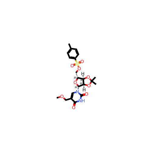 COCc1cn([C@@H]2O[C@H](COS(=O)(=O)c3ccc(C)cc3)[C@H]3OC(C)(C)O[C@H]32)c(=O)[nH]c1=O